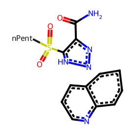 CCCCCS(=O)(=O)c1[nH]nnc1C(N)=O.c1ccc2ncccc2c1